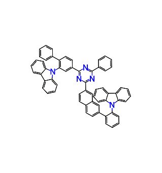 c1ccc(-c2nc(-c3ccc(-c4ccccc4)c(-n4c5ccccc5c5ccccc54)c3)nc(-c3ccc4ccc(-c5ccccc5-n5c6ccccc6c6ccccc65)cc4c3)n2)cc1